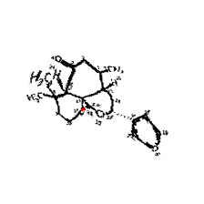 CC1=CC(=O)[C@H]2C(C)(C)CCC[C@@]23C(=O)O[C@@H](c2ccoc2)C[C@@H]13